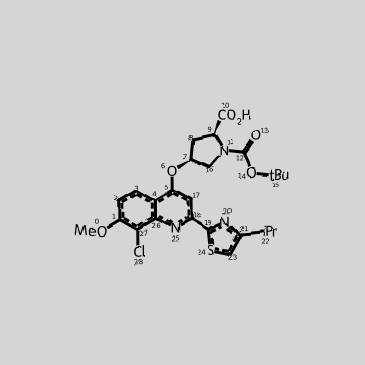 COc1ccc2c(O[C@H]3C[C@@H](C(=O)O)N(C(=O)OC(C)(C)C)C3)cc(-c3nc(C(C)C)cs3)nc2c1Cl